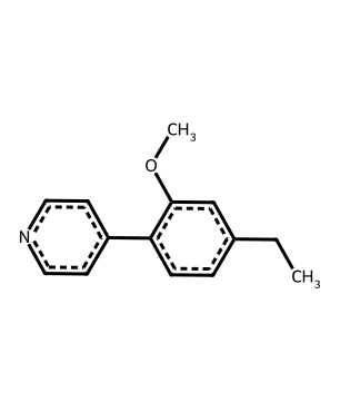 CCc1ccc(-c2ccncc2)c(OC)c1